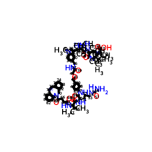 CN[C@H](C(=O)N[C@H](C(=O)N(C)[C@H](/C=C(\C)C(=O)O)C(C)C)C(C)(C)C)C(C)(C)c1cn(C)c2ccc(CNC(=O)COCc3ccc(NC(=O)[C@H](CCCNC(N)=O)NC(=O)[C@@H](NC(=O)CCC(=O)N4Cc5ccccc5/C=C\c5ccccc54)C(C)C)cc3)cc12